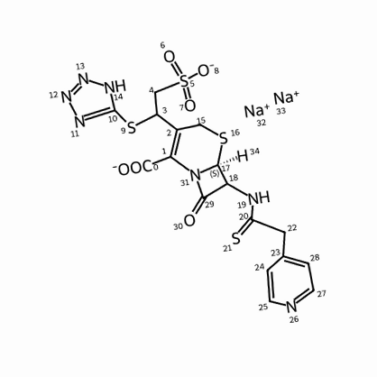 O=C([O-])C1=C(C(CS(=O)(=O)[O-])Sc2nnn[nH]2)CS[C@H]2C(NC(=S)Cc3ccncc3)C(=O)N12.[Na+].[Na+]